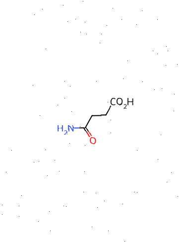 NC(=O)CCC(=O)O